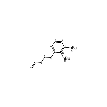 C=CCCCc1cccc(CCCC)c1CCCC